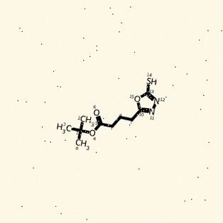 CC(C)(C)OC(=O)CCCc1nnc(S)o1